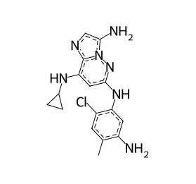 Cc1cc(Cl)c(Nc2cc(NC3CC3)c3ncc(N)n3n2)cc1N